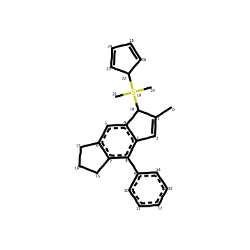 CC1=Cc2c(cc3c(c2-c2ccccc2)CCC3)C1S(C)(C)C1C=CC=C1